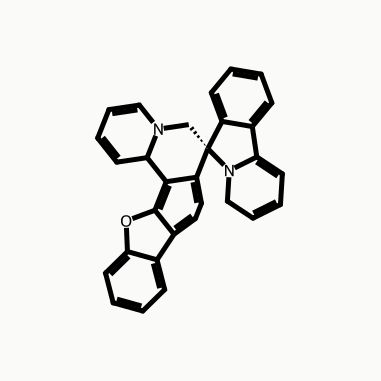 C1=CCN2C(=C1)c1ccccc1[C@@]21CN2C=CC=CC2c2c1ccc1c2oc2ccccc21